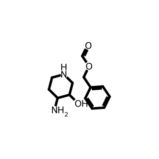 NC1CCNCC1O.O=COCc1ccccc1